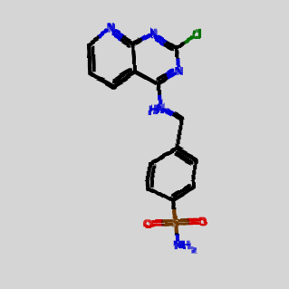 NS(=O)(=O)c1ccc(CNc2nc(Cl)nc3ncccc23)cc1